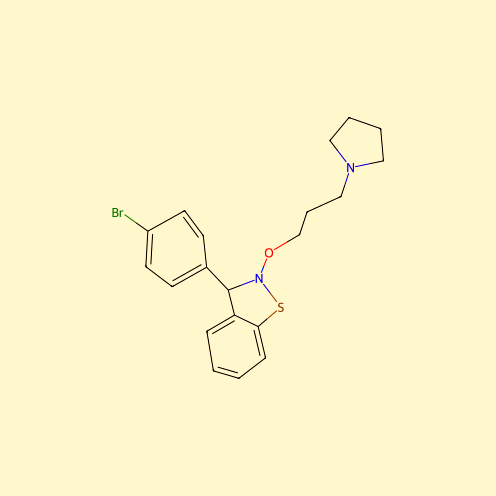 Brc1ccc(C2c3ccccc3SN2OCCCN2CCCC2)cc1